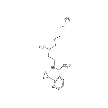 CCOC(=O)C(NCCC(C)CCCCCN)c1cccnc1C1CC1